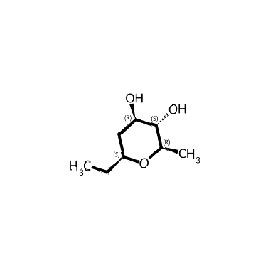 CC[C@H]1C[C@@H](O)[C@H](O)[C@@H](C)O1